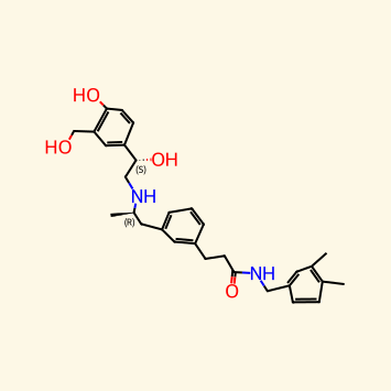 Cc1ccc(CNC(=O)CCc2cccc(C[C@@H](C)NC[C@@H](O)c3ccc(O)c(CO)c3)c2)cc1C